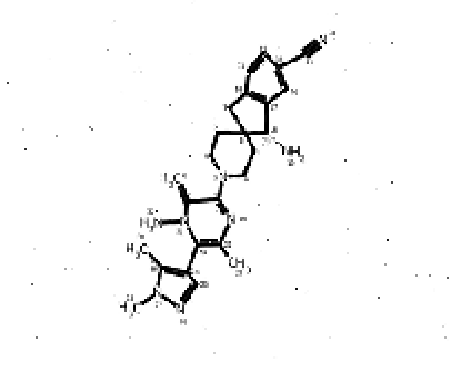 C=C1C(N2CCC3(CC2)Cc2ccc(C#N)cc2[C@@H]3N)=NC(C)=C(c2cnn(C)c2C)N1N